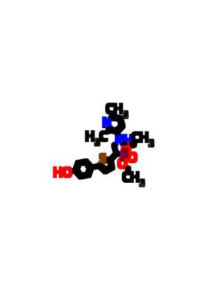 CCOP(=O)(OCC)C(CNc1ccc(C)nc1C)c1ccc(-c2ccc(O)cc2)s1